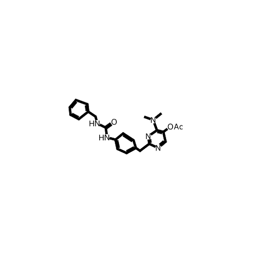 CC(=O)Oc1cnc(Cc2ccc(NC(=O)NCc3ccccc3)cc2)nc1N(C)C